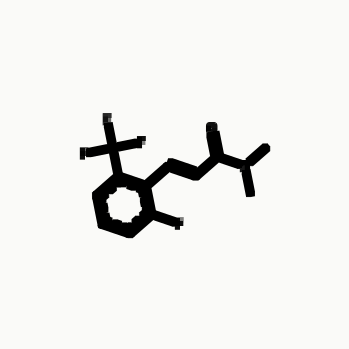 CN(C)C(=O)C=Cc1c(F)cccc1C(F)(F)F